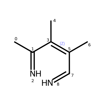 CC(=N)/C(C)=C(/C)C=N